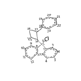 ClC(c1ccccc1)(c1ccccc1)C1CCC1c1ccccc1